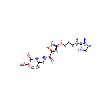 CCCCOC(=O)NC(CNC(=O)c1cc(OCCCNC2NCCN2)no1)C(=O)O